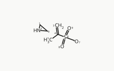 C1CN1.C=C(C)S([O])(=O)=O